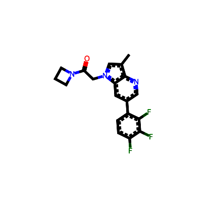 Cc1cn(CC(=O)N2CCC2)c2cc(-c3ccc(F)c(F)c3F)cnc12